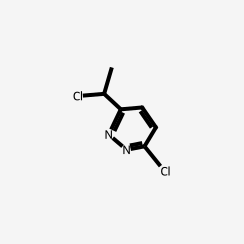 CC(Cl)c1ccc(Cl)nn1